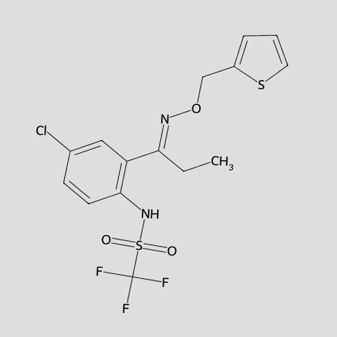 CCC(=NOCc1cccs1)c1cc(Cl)ccc1NS(=O)(=O)C(F)(F)F